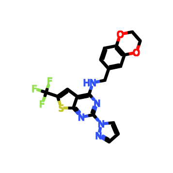 FC(F)(F)c1cc2c(NCc3ccc4c(c3)OCCO4)nc(-n3cccn3)nc2s1